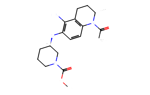 COC(=O)N1c2ccc(N[C@@H]3CCCN(C(=O)OC(C)(C)C)C3)c(N)c2CC[C@@H]1C